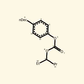 CCCCCCCCCCc1ccc(OC(=O)OC(CC)C(C)C)cc1